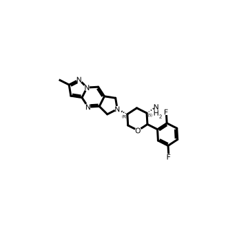 Cc1cc2nc3c(cn2n1)CN([C@H]1COC(c2cc(F)ccc2F)[C@@H](N)C1)C3